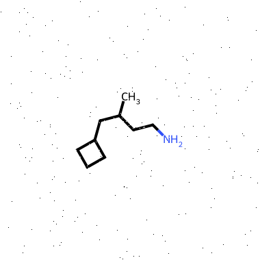 CC(CCN)CC1CCC1